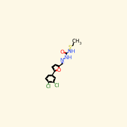 CCSNC(=O)N/N=C/c1ccc(-c2ccc(Cl)c(Cl)c2)o1